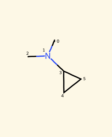 [CH2]N(C)C1CC1